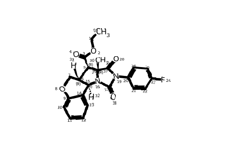 CCOC(=O)[C@@H]1[C@H]2COc3ccccc3[C@@H]2N2C(=O)N(c3ccc(F)cc3)C(=O)[C@@]12C